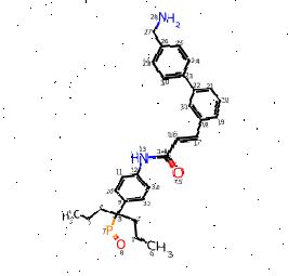 CCCC(CCC)(P=O)c1ccc(NC(=O)/C=C/c2cccc(-c3ccc(CN)cc3)c2)cc1